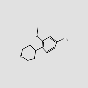 COc1cc(N)ccc1C1CCOCC1